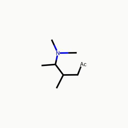 CC(=O)CC(C)C(C)N(C)C